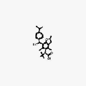 Cc1c2c(c(C(O)c3ccc(C(C)C)cc3)c(C)c1N(C(=O)O)C(C)(C)C)OC(C)C2